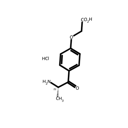 C[C@H](N)C(=O)c1ccc(OCC(=O)O)cc1.Cl